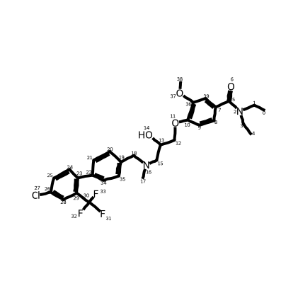 CCN(CC)C(=O)c1ccc(OCC(O)CN(C)Cc2ccc(-c3ccc(Cl)cc3C(F)(F)F)cc2)c(OC)c1